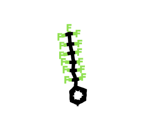 FC(F)(F)C(F)(F)C(F)(F)C(F)(F)C(F)(F)C(F)(F)c1cc[c]cc1